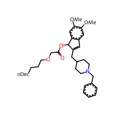 CCCCCCCCCCCCCOCC(=O)OC1C(CC2CCN(Cc3ccccc3)CC2)=Cc2cc(OC)c(OC)cc21